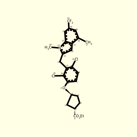 CCOC(=O)[C@H]1CC[C@H](Oc2ccc(Cl)c(Cc3cc4c(C)cc(C(F)(F)F)cc4n3C)c2Cl)C1